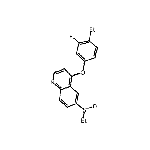 CCc1ccc(Oc2ccnc3ccc([S+]([O-])CC)cc23)cc1F